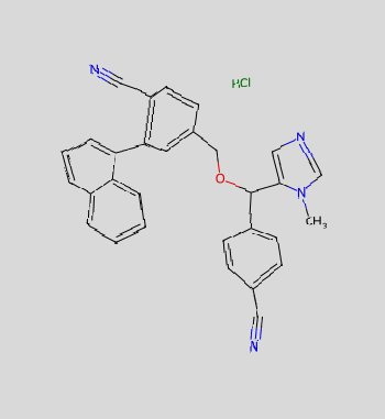 Cl.Cn1cncc1C(OCc1ccc(C#N)c(-c2cccc3ccccc23)c1)c1ccc(C#N)cc1